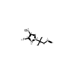 C=NCC(C)(C)n1cc(C(C)(C)C)c(F)n1